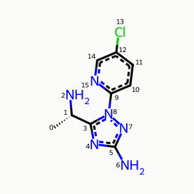 C[C@H](N)c1nc(N)nn1-c1ccc(Cl)cn1